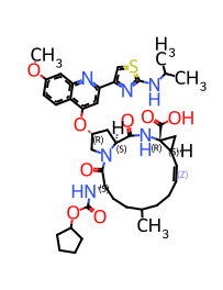 COc1ccc2c(O[C@@H]3C[C@H]4C(=O)N[C@]5(C(=O)O)C[C@H]5/C=C\CCC(C)CC[C@H](NC(=O)OC5CCCC5)C(=O)N4C3)cc(-c3csc(NC(C)C)n3)nc2c1